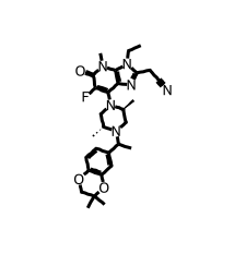 CCn1c(CC#N)nc2c(N3C[C@@H](C)N(C(C)c4ccc5c(c4)OC(C)(C)CO5)C[C@@H]3C)c(F)c(=O)n(C)c21